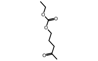 CCOC(=O)OCCCC(C)=O